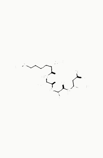 CC(=O)N[C@@H](CCCCNC=O)C(=O)N[C@@H](C)C(=O)N[C@H](C)C(=O)N[C@@H](CC(N)=O)C(=O)O